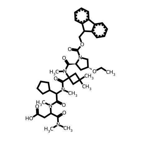 CCO[C@@H]1C[C@@H](C(=O)N(C)C2(C(=O)N(C)C(C(=O)N(C)C(CC(=O)O)C(=O)N(C)C)C3CCCC3)CC(C)(C)C2)N(C(=O)OCC2c3ccccc3-c3ccccc32)C1